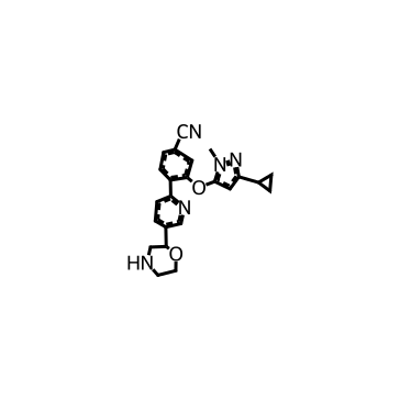 Cn1nc(C2CC2)cc1Oc1cc(C#N)ccc1-c1ccc(C2CNCCO2)cn1